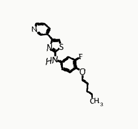 CCCCCOc1ccc(Nc2nc(-c3cccnc3)cs2)cc1F